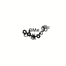 COCc1cc(-c2nc(-c3cccc(COCCC(=O)OC(C)(C)C)c3)no2)ccc1-c1ccccc1C